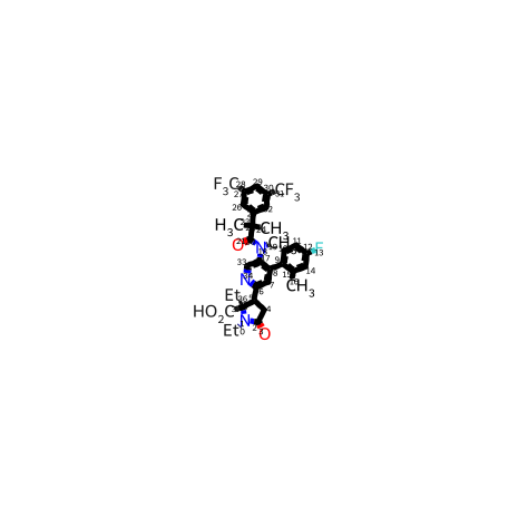 CCN1C(=O)CC(c2cc(-c3ccc(F)cc3C)c(N(C)C(=O)C(C)(C)c3cc(C(F)(F)F)cc(C(F)(F)F)c3)cn2)[C@@]1(CC)C(=O)O